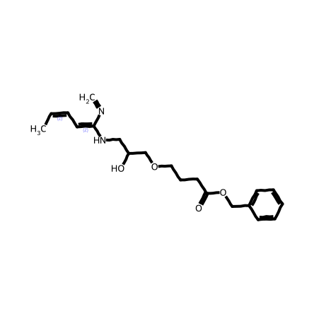 C=N/C(=C\C=C/C)NCC(O)COCCCC(=O)OCc1ccccc1